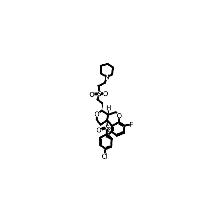 O=S(=O)(CC[C@@H]1OCC[C@@]2(S(=O)(=O)c3ccc(Cl)cc3)c3c(F)ccc(F)c3OC[C@@H]12)CCN1CCCCC1